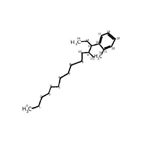 CCCCCCCCCCCC(I)C(CC)c1ccccc1C